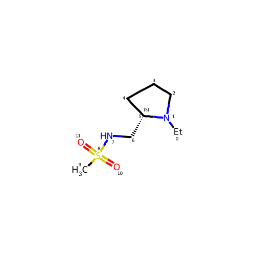 CCN1CCC[C@H]1CNS(C)(=O)=O